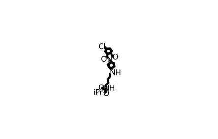 CC(C)S(=O)(=O)NCCCCCNc1ccc(N2C(=O)c3ccc(Cl)cc3C2=O)cc1